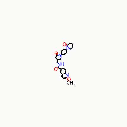 COc1ccc2cc(C(=O)NCC3CC(=O)N(c4ccc(N5CCCCC5=O)cc4)C3)ccc2n1